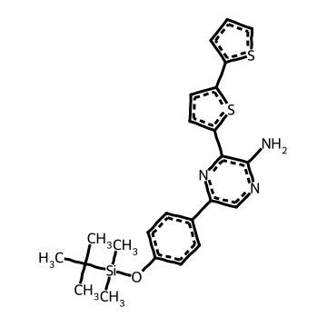 CC(C)(C)[Si](C)(C)Oc1ccc(-c2cnc(N)c(-c3ccc(-c4cccs4)s3)n2)cc1